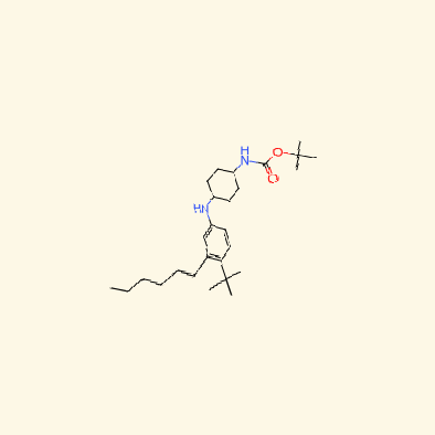 CCCCCCc1cc(NC2CCC(NC(=O)OC(C)(C)C)CC2)ccc1C(C)(C)C